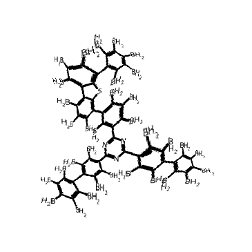 Bc1c(B)c(B)c(-c2c(B)c(B)c(-c3nc(-c4c(B)c(B)c(-c5c(B)c(B)c(B)c(B)c5B)c(B)c4B)nc(-c4c(B)c(B)c(B)c(-c5c(B)c(B)c(B)c6c5sc5c(-c7c(B)c(B)c(B)c(B)c7B)c(B)c(B)c(B)c56)c4B)n3)c(B)c2B)c(B)c1B